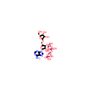 Nc1ncnc2c1ncn2[C@@H]1O[C@H](COC2O[C@H](CO)[C@@H](O)[C@H]2O)[C@@H](OP(=O)(O)OP(=O)(O)OP(=O)(O)OP(=O)(O)O)[C@H]1O